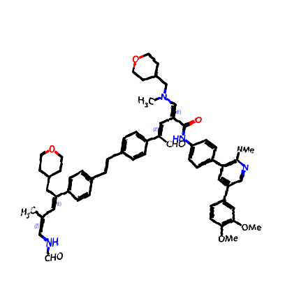 CNc1ncc(-c2ccc(OC)c(OC)c2)cc1-c1ccc(NC(=O)C(/C=C(\C=O)c2ccc(CCc3ccc(/C(=C/C(C)=C\NC=O)CC4CCOCC4)cc3)cc2)=C/N(C)CC2CCOCC2)cc1